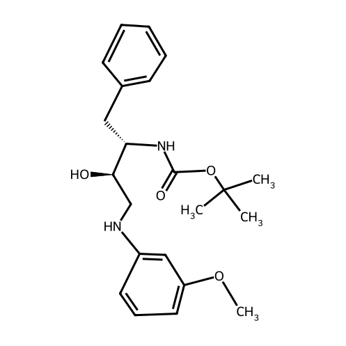 COc1cccc(NC[C@@H](O)[C@H](Cc2ccccc2)NC(=O)OC(C)(C)C)c1